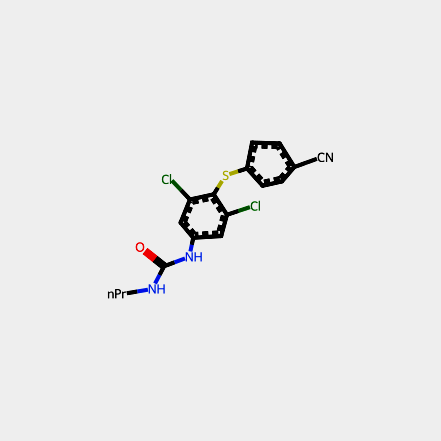 CCCNC(=O)Nc1cc(Cl)c(Sc2ccc(C#N)cc2)c(Cl)c1